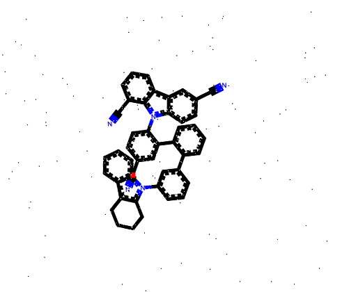 N#Cc1ccc(-n2c3ccc(C#N)cc3c3cccc(C#N)c32)c(-c2ccccc2-c2cccc(-n3c4c(c5ccccc53)CCCC4)c2)c1